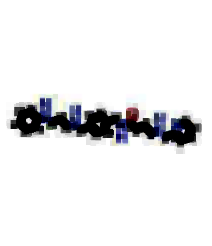 O=C(/C=C/CNCc1ccccn1)NCc1ccc(CNCCCNC2CCCCC2)cc1